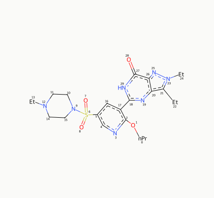 CCCOc1ncc(S(=O)(=O)N2CCN(CC)CC2)cc1-c1nc2c(CC)n(CC)nc2c(=O)[nH]1